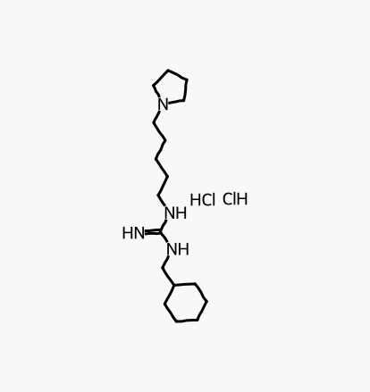 Cl.Cl.N=C(NCCCCCN1CCCC1)NCC1CCCCC1